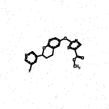 COC(=O)c1cnc(Oc2ccc3c(c2)CCC(c2cncc(F)c2)O3)s1